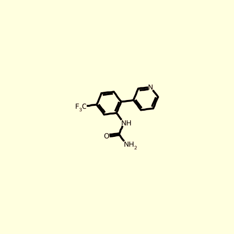 NC(=O)Nc1cc(C(F)(F)F)ccc1-c1cccnc1